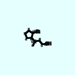 CCC1CCCC1N(C)CCO